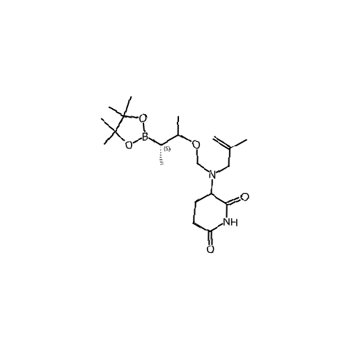 C=C(C)CN(COC(C)[C@H](C)B1OC(C)(C)C(C)(C)O1)C1CCC(=O)NC1=O